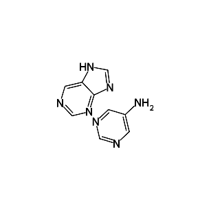 Nc1cncnc1.c1ncc2[nH]cnc2n1